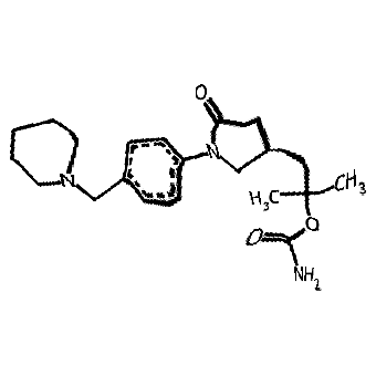 CC(C)(C[C@@H]1CC(=O)N(c2ccc(CN3CCCCC3)cc2)C1)OC(N)=O